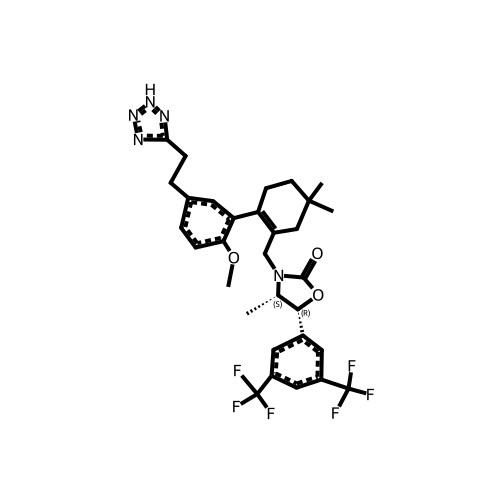 COc1ccc(CCc2nn[nH]n2)cc1C1=C(CN2C(=O)O[C@H](c3cc(C(F)(F)F)cc(C(F)(F)F)c3)[C@@H]2C)CC(C)(C)CC1